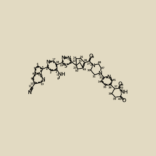 CNc1cc(-c2ccc3cc(C#N)cnn23)ncc1-c1nnc(C23CCC(C(=O)N4CCN(c5ccc(C6CCC(=O)NC6=O)cn5)CC4)=C(C2)C3)s1